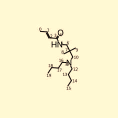 CC=CC(=O)NCC(C)(C)CN(CCCC)CCCC